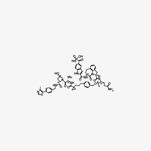 Cc1ncsc1-c1ccc(CNC(=O)[C@@H]2C[C@@H](O)CN2C(=O)[C@@H](NC(=O)C2(CCCc3ccc(CO[C@H](C)[C@H](CCC(N)=O)NC(=O)[C@@H]4Cc5cccc6c5N4C(=O)[C@@H](NC(=O)c4cc5cc(C(=O)P(=O)(O)O)ccc5[nH]4)CC6)cc3)CC2)C(C)(C)C)cc1